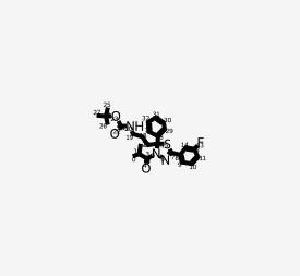 CC(C)C(=O)N1N=C(c2cccc(F)c2)SC1(CCCNC(=O)OC(C)(C)C)c1ccccc1